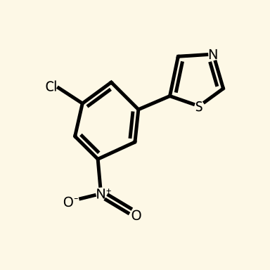 O=[N+]([O-])c1cc(Cl)cc(-c2cncs2)c1